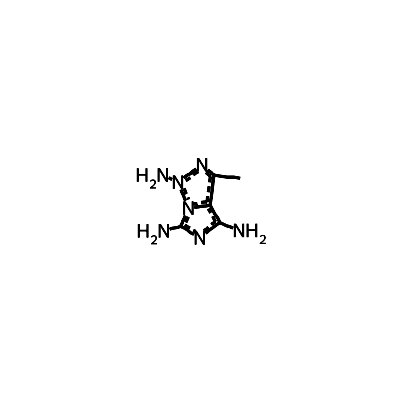 Cc1nn(N)n2c(N)nc(N)c12